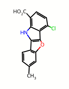 Cc1ccc2c(c1)oc1c2[nH]c2c(C(=O)O)ccc(Cl)c21